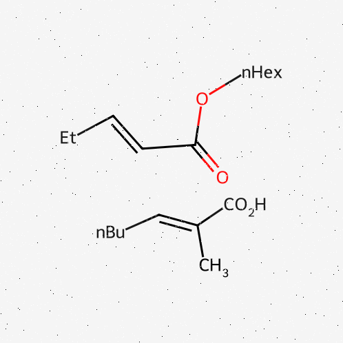 CCC=CC(=O)OCCCCCC.CCCCC=C(C)C(=O)O